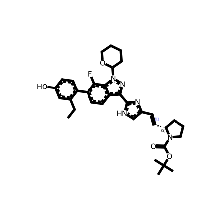 CCc1cc(O)ccc1-c1ccc2c(-c3nc(/C=C/[C@@H]4CCCN4C(=O)OC(C)(C)C)c[nH]3)nn(C3CCCCO3)c2c1F